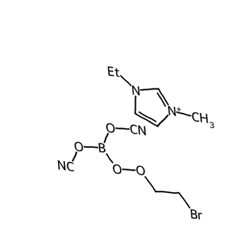 CCn1cc[n+](C)c1.N#COB(OC#N)OOCCBr